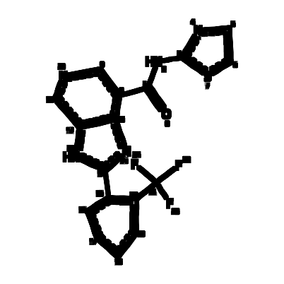 O=C(Nc1nccs1)c1cncc2[nH]c(-c3ccccc3C(F)(F)F)nc12